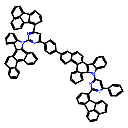 c1ccc(-c2cc(-n3c4ccccc4c4c5ccc6cc(-c7ccc(-c8cc(-c9cccc%10c9-c9cccc%11cccc-%10c9%11)nc(-n9c%10ccccc%10c%10c%11ccc%12ccccc%12c%11c%11ccccc%11c%109)n8)cc7)ccc6c5c5ccccc5c43)nc(-c3cccc4c3-c3cccc5cccc-4c35)n2)cc1